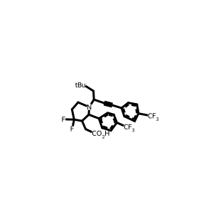 CC(C)(C)CC(C#Cc1ccc(C(F)(F)F)cc1)N1CCC(F)(F)C(CC(=O)O)C1c1ccc(C(F)(F)F)cc1